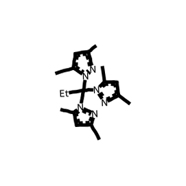 CCC(n1nc(C)cc1C)(n1nc(C)cc1C)n1nc(C)cc1C